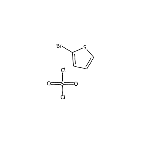 Brc1cccs1.O=S(=O)(Cl)Cl